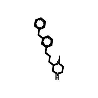 IN1CCNCC1CCCc1cccc(Cc2ccccc2)c1